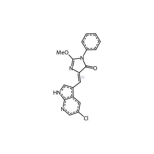 COC1=N/C(=C\c2c[nH]c3ncc(Cl)cc23)C(=O)N1c1ccccc1